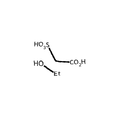 CCO.O=C(O)CS(=O)(=O)O